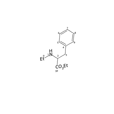 CCNC(Cc1ccccc1)C(=O)OCC